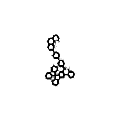 c1ccc(C2(c3ccccc3)c3ccccc3-c3cc4c(cc32)c(-c2ccc(-c3ccc(-c5ccc6ccc7cccnc7c6n5)cc3)cc2)nc2ccccc24)cc1